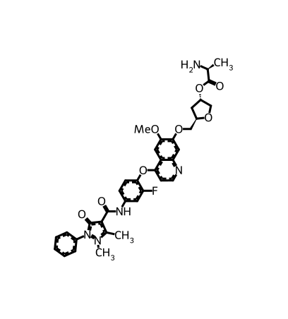 COc1cc2c(Oc3ccc(NC(=O)c4c(C)n(C)n(-c5ccccc5)c4=O)cc3F)ccnc2cc1OC[C@H]1C[C@H](OC(=O)[C@H](C)N)CO1